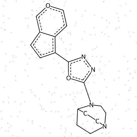 c1cc2c(-c3nnc(N4CCN5CCC4CC5)o3)ccc-2co1